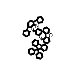 c1ccc(C2(c3ccccc3)c3ccccc3-c3c(N(c4ccc5c(c4)n4c6ccccc6c6ccc7c8ccccc8n5c7c64)c4cccc5oc6ccccc6c45)cccc32)cc1